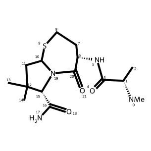 CN[C@@H](C)C(=O)N[C@H]1CCSC2CC(C)(C)[C@@H](C(N)=O)N2C1=O